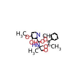 COc1ccnc(C(=O)N[C@](C)(C=O)CO[C@@H](C)[C@H](OC)c2ccccc2)c1O